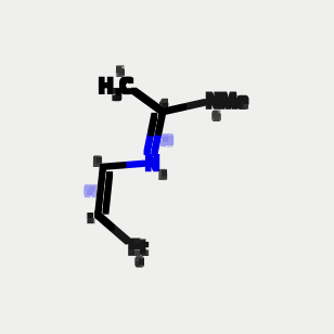 CC/C=C\N=C(/C)NC